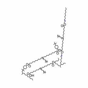 CCCCCCCC/C=C/COC(=O)CCCCCCCN(CCCCCCCC(=O)OC/C=C/CCCCC(CCC)C(C)CCCC(CCCC)OC(=O)CCCCCCCN(CCCCCCCC(O)OC(CCCCC)CCC(C)CC(C)(C)C1CCC(OC(=O)CCCCCCCCCN(CCCCCCCCCC(=O)OC2CCC(C(C)(C)C)CC2)CCN(C)C)CC1)CCN(C)C)CCN(C)C